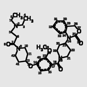 CCN(CC)CCC(=O)N1CCC(Oc2ccc(C(=O)N3CCC(N4C(=O)OCc5ccccc54)CC3)c(OC)c2)CC1